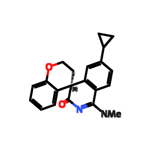 CNC1=NC(=O)[C@]2(CCOc3ccccc32)c2cc(C3CC3)ccc21